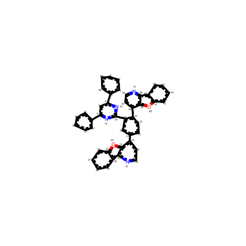 c1ccc(-c2cc(-c3ccccc3)nc(-c3cc(-c4ccnc5c4oc4ccccc45)ccc3-c3ccnc4c3oc3ccccc34)n2)cc1